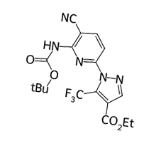 CCOC(=O)c1cnn(-c2ccc(C#N)c(NC(=O)OC(C)(C)C)n2)c1C(F)(F)F